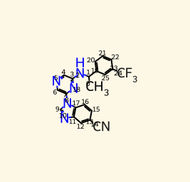 CC(Nc1cncc(-n2cnc3cc(C#N)ccc32)n1)c1cccc(C(F)(F)F)c1